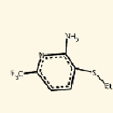 CCSc1ccc(C(F)(F)F)nc1N